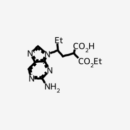 CCOC(=O)C(CC(CC)n1cnc2cnc(N)nc21)C(=O)O